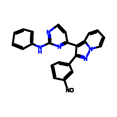 O=Nc1cccc(-c2nn3ccccc3c2-c2ccnc(Nc3ccccc3)n2)c1